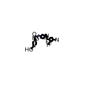 N#Cc1ccc(Cn2ncc3cc(/C=C4\SC(N5CCN(CCO)CC5)=NC4=O)ccc32)c(C(F)(F)F)c1